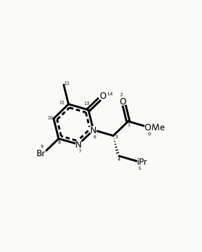 COC(=O)[C@H](CC(C)C)n1nc(Br)cc(C)c1=O